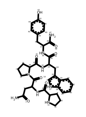 NC(=O)CC(NC(=O)C1CCCN1)C(=O)N1CCCC1C(=O)NC(Cc1c[nH]c2ccccc12)C(=O)NC(Cc1ccc(O)cc1)C(N)=O